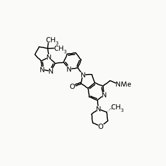 CNCc1nc(N2CCOC[C@H]2C)cc2c1CN(c1cccc(-c3nnc4n3C(C)(C)CC4)n1)C2=O